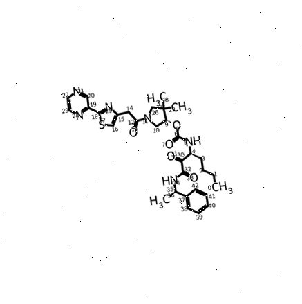 CCCC[C@H](NC(=O)O[C@@H]1CN(C(=O)Cc2csc(-c3cnccn3)n2)CC1(C)C)C(=O)C(=O)N[C@H](C)c1ccccc1